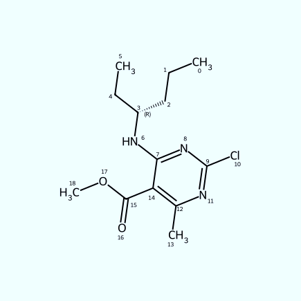 CCC[C@@H](CC)Nc1nc(Cl)nc(C)c1C(=O)OC